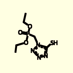 CCOP(=O)(Cn1nnnc1S)OCC